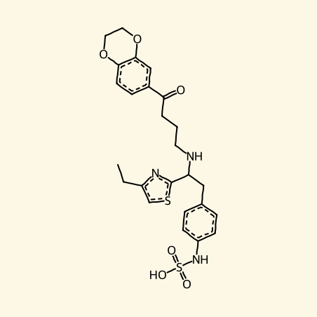 CCc1csc(C(Cc2ccc(NS(=O)(=O)O)cc2)NCCCC(=O)c2ccc3c(c2)OCCO3)n1